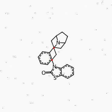 O=c1sc2ccccc2n1CCCN1C2CCC1CC(c1ccccc1)C2